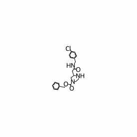 O=C(CC1CN(C(=O)OCc2ccccc2)CCN1)NCc1ccc(Cl)cc1